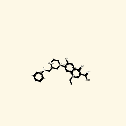 CCn1cc(C(=O)O)c(=O)c2cc(F)c(N3CCNC(COc4ccccc4)C3)cc21